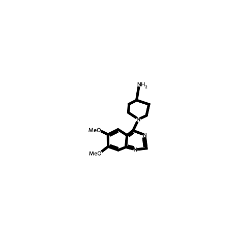 COc1cc2ncnc(N3CCC(N)CC3)c2cc1OC